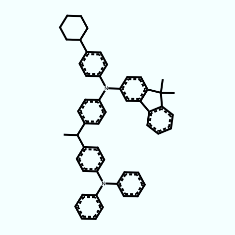 CC(c1ccc(N(c2ccccc2)c2ccccc2)cc1)c1ccc(N(c2ccc(C3CCCCC3)cc2)c2ccc3c(c2)-c2ccccc2C3(C)C)cc1